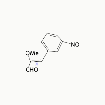 CO/C(C=O)=C\c1cccc(N=O)c1